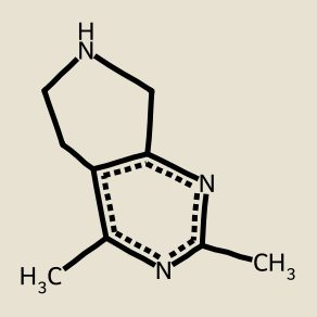 Cc1nc(C)c2c(n1)CNCC2